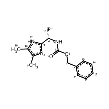 Cc1nc([C@@H](NC(=O)OCc2ccccc2)C(C)C)[nH]c1C